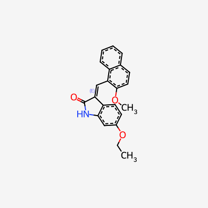 CCOc1ccc2c(c1)NC(=O)/C2=C/c1c(OC)ccc2ccccc12